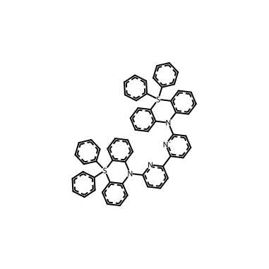 c1ccc(S2(c3ccccc3)c3ccccc3N(c3cccc(-c4cccc(N5c6ccccc6S(c6ccccc6)(c6ccccc6)c6ccccc65)n4)n3)c3ccccc32)cc1